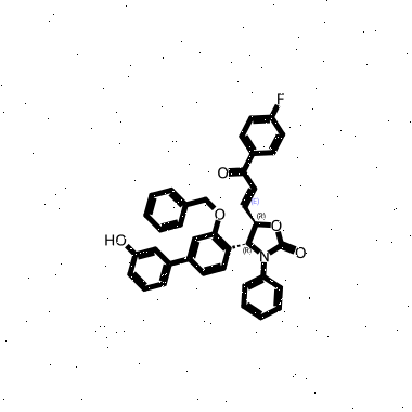 O=C(/C=C/[C@H]1OC(=O)N(c2ccccc2)[C@@H]1c1ccc(-c2cccc(O)c2)cc1OCc1ccccc1)c1ccc(F)cc1